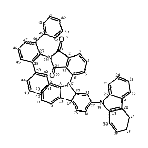 O=C1c2cccc(-n3c4ccccc4c4ccc(-n5c6c(c7ccccc75)CCC=C6)cc43)c2C(=O)N1c1c(-c2ccccc2)cccc1-c1ccccc1